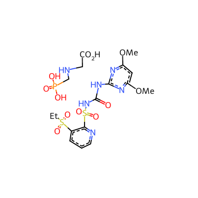 CCS(=O)(=O)c1cccnc1S(=O)(=O)NC(=O)Nc1nc(OC)cc(OC)n1.O=C(O)CNCP(=O)(O)O